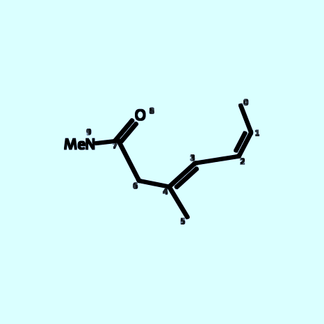 C/C=C\C=C(/C)CC(=O)NC